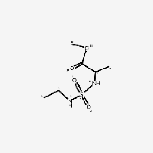 CCNS(=O)(=O)NC(C)C(=O)OC